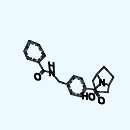 O=C(NCc1ccc(C(=O)N2C3CCC2CC(O)C3)cc1)c1ccccc1